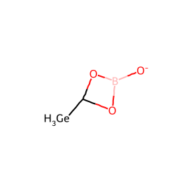 [O-]B1O[CH]([GeH3])O1